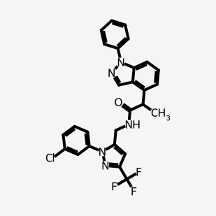 CC(C(=O)NCc1cc(C(F)(F)F)nn1-c1cccc(Cl)c1)c1cccc2c1cnn2-c1ccccc1